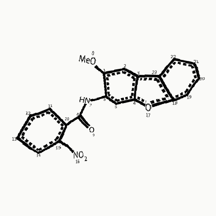 COc1cc2c(cc1NC(=O)c1ccccc1[N+](=O)[O-])oc1ccccc12